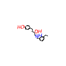 CCc1cccc(CNCC(O)[CH]Cc2ccc(O)cc2)c1